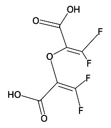 O=C(O)C(OC(C(=O)O)=C(F)F)=C(F)F